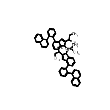 CCC(C)C1=Cc2c(-c3ccccc3-c3cccc4ccccc34)cccc2[CH]1[Hf]([CH]1C(C(C)CC)=Cc2c(-c3ccccc3-c3cccc4ccccc34)cccc21)[SiH](C)C